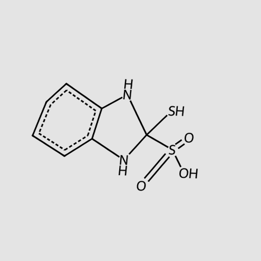 O=S(=O)(O)C1(S)Nc2ccccc2N1